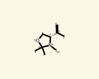 C=C(C)[C@H]1COC(C)(C)N1I